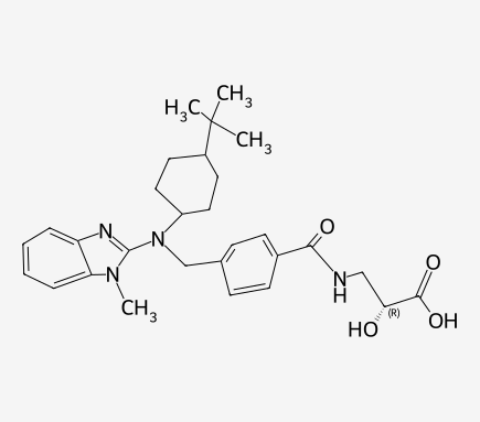 Cn1c(N(Cc2ccc(C(=O)NC[C@@H](O)C(=O)O)cc2)C2CCC(C(C)(C)C)CC2)nc2ccccc21